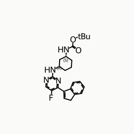 CC(C)(C)OC(=O)N[C@H]1CCC[C@@H](Nc2ncc(F)c(C3=CCc4ccccc43)n2)C1